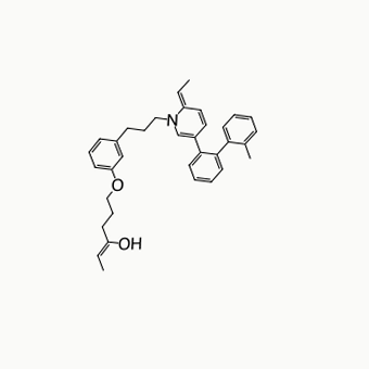 CC=C(O)CCCOc1cccc(CCCN2C=C(c3ccccc3-c3ccccc3C)C=CC2=CC)c1